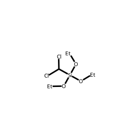 CCO[Si](OCC)(OCC)C(Cl)Cl